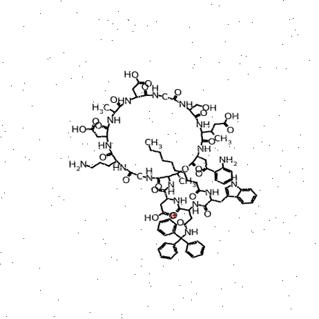 CCCCCCCCCC(=O)NC(Cc1c[nH]c2ccccc12)C(=O)NC(CC(=O)NC(c1ccccc1)(c1ccccc1)c1ccccc1)C(=O)NC(CC(=O)O)C(=O)NC1C(=O)NCC(=O)NC(CCCN)C(=O)NC(CC(=O)O)C(=O)NC(C)C(=O)NC(CC(=O)O)C(=O)NCC(=O)NC(CO)C(=O)NC(C(C)CC(=O)O)C(=O)NC(CC(=O)c2ccccc2N)C(=O)OC1C